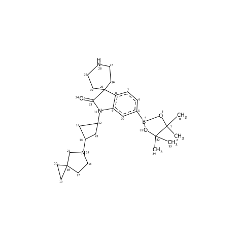 CC1(C)OB(c2ccc3c(c2)N(C2CC(N4CCC5(CC5)C4)C2)C(=O)C32CCNCC2)OC1(C)C